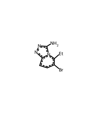 CCc1c(Br)ccc2nnc(N)n12